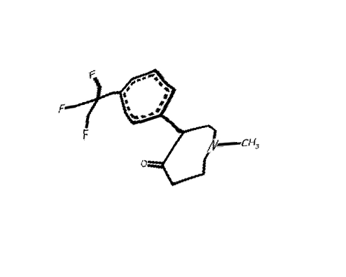 CN1CCC(=O)C(c2cccc(C(F)(F)F)c2)C1